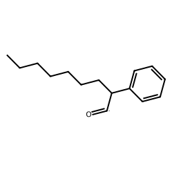 CCCCCCCC([C]=O)c1ccccc1